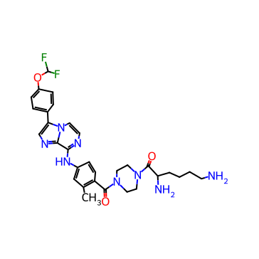 Cc1cc(Nc2nccn3c(-c4ccc(OC(F)F)cc4)cnc23)ccc1C(=O)N1CCN(C(=O)C(N)CCCCN)CC1